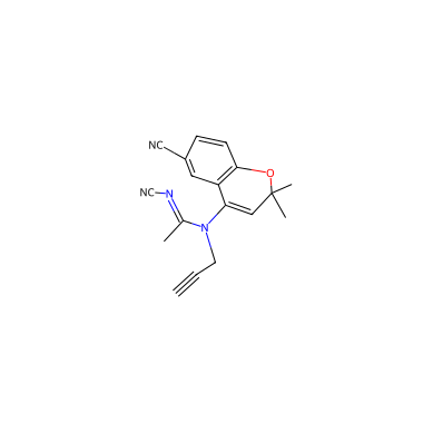 C#CCN(C1=CC(C)(C)Oc2ccc(C#N)cc21)C(C)=NC#N